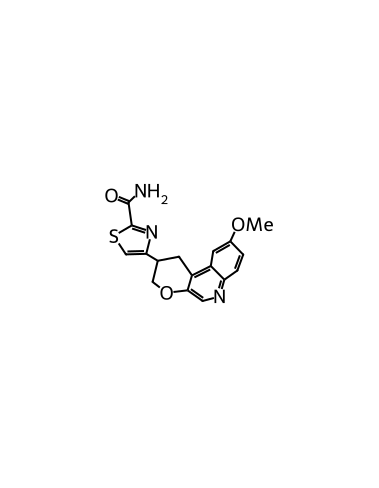 COc1ccc2ncc3c(c2c1)CC(c1csc(C(N)=O)n1)CO3